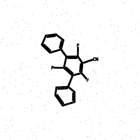 N#Cc1c(F)c(-c2ccccc2)c(F)c(-c2ccccc2)c1F